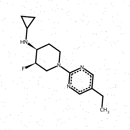 CCc1cnc(N2CC[C@H](NC3CC3)[C@H](F)C2)nc1